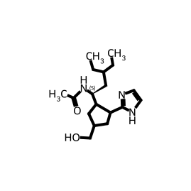 CCC(CC)C[C@H](NC(C)=O)C1CC(CO)CC1c1ncc[nH]1